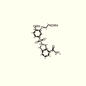 COCCOc1cc(S(=O)(=O)N2Cc3cccc(C(N)=O)c3C2)ccc1OC